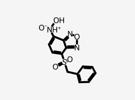 O=S(=O)(Cc1ccccc1)c1ccc([NH+]([O-])O)c2nonc12